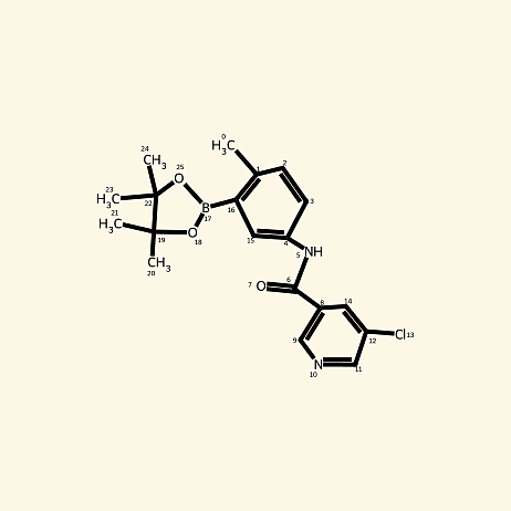 Cc1ccc(NC(=O)c2cncc(Cl)c2)cc1B1OC(C)(C)C(C)(C)O1